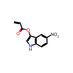 C=CC(=O)Oc1c[nH]c2ccc([N+](=O)[O-])cc12